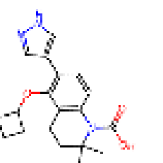 CC1(C)CCc2c(ccc(-c3cn[nH]c3)c2OC2CCC2)N1C(=O)O